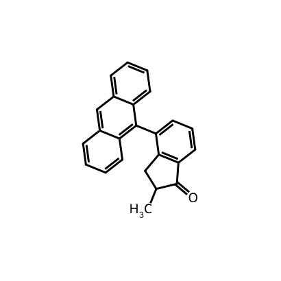 CC1Cc2c(cccc2-c2c3ccccc3cc3ccccc23)C1=O